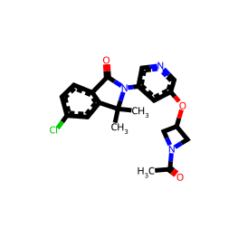 CC(=O)N1CC(Oc2cncc(N3C(=O)c4ccc(Cl)cc4C3(C)C)c2)C1